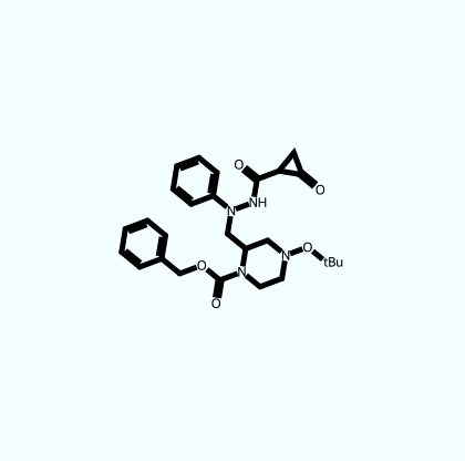 CC(C)(C)ON1CCN(C(=O)OCc2ccccc2)C(CN(NC(=O)C2CC2=O)c2ccccc2)C1